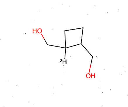 [2H]C1(CO)CCC1CO